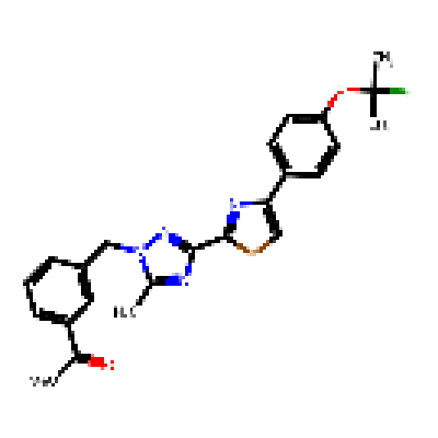 COC(=O)c1cccc(Cn2nc(-c3nc(-c4ccc(OC(C)(C)F)cc4)cs3)nc2C)c1